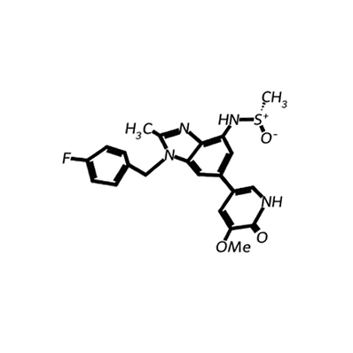 COc1cc(-c2cc(N[S@+](C)[O-])c3nc(C)n(Cc4ccc(F)cc4)c3c2)c[nH]c1=O